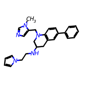 Cn1cncc1CN1CC(NCCn2cccc2)Cc2cc(-c3ccccc3)ccc21